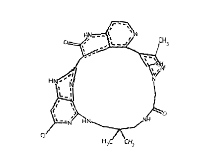 Cc1nn2c(C)c1-c1nccc3[nH]c(=O)c(cc13)-c1nc3c(nc(Cl)cc3[nH]1)NCC(C)(C)CNC(=O)C2